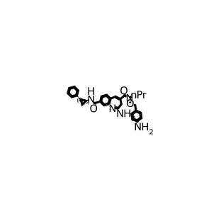 CCCN(OCc1ccc(N)cc1)C(=O)C1=Cc2ccc(C(=O)N[C@H]3C[C@@H]3c3ccccc3)cc2N=C(N)C1